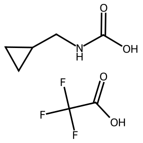 O=C(O)C(F)(F)F.O=C(O)NCC1CC1